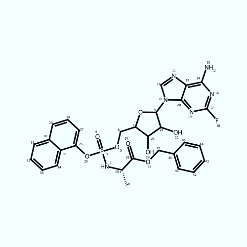 C[C@H](NP(=O)(OCC1OC(n2cnc3c(N)nc(F)nc32)C(O)C1O)Oc1cccc2ccccc12)C(=O)OCc1ccccc1